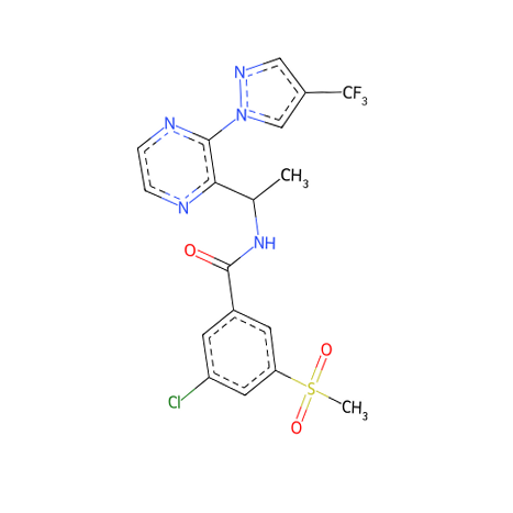 CC(NC(=O)c1cc(Cl)cc(S(C)(=O)=O)c1)c1nccnc1-n1cc(C(F)(F)F)cn1